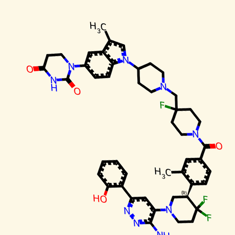 Cc1cc(C(=O)N2CCC(F)(CN3CCC(n4cc(C)c5cc(N6CCC(=O)NC6=O)ccc54)CC3)CC2)ccc1[C@@H]1CN(c2cc(-c3ccccc3O)nnc2N)CCC1(F)F